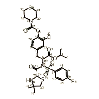 CC(C)OC(=O)[C@H](Cc1ccc(OC(=O)N2CCSCC2)c(Cl)c1)N(C(=O)[C@H]1NC(C)(C)CS1)S(=O)(=O)c1ccc(F)cc1